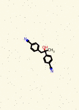 CC(O)(Cc1ccc(C#N)cc1)c1ccc(C#N)cc1